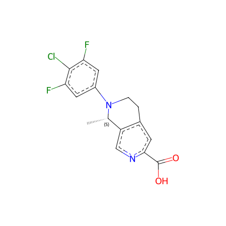 C[C@H]1c2cnc(C(=O)O)cc2CCN1c1cc(F)c(Cl)c(F)c1